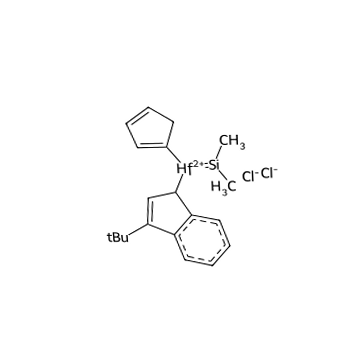 C[Si](C)=[Hf+2]([C]1=CC=CC1)[CH]1C=C(C(C)(C)C)c2ccccc21.[Cl-].[Cl-]